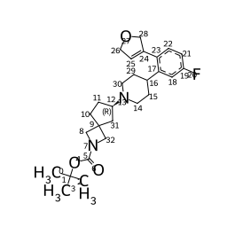 CC(C)(C)OC(=O)N1CC2(CC[C@@H](N3CCC(c4cc(F)ccc4C4=CCOC4)CC3)C2)C1